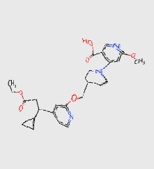 CCOC(=O)CC(c1ccnc(OCC2CCN(c3cc(OC)ncc3C(=O)O)CC2)c1)C1CC1